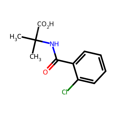 CC(C)(NC(=O)c1ccccc1Cl)C(=O)O